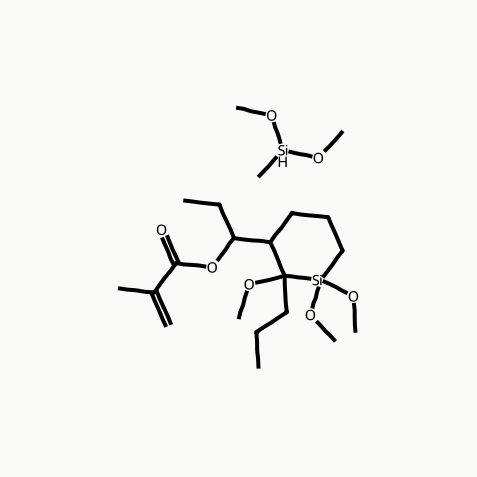 C=C(C)C(=O)OC(CC)C1CCC[Si](OC)(OC)C1(CCC)OC.CO[SiH](C)OC